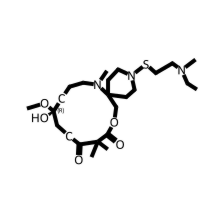 CCN(C)CCSN1CCC2(CC1)COC(=O)C(C)(C)C(=O)CC[C@](O)(OC)CCCN2C